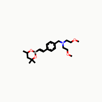 COCCN(CCOC)Cc1ccc(C=CB2OC(C)CC(C)(C)O2)cc1